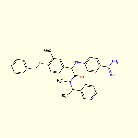 COc1cc(C(Nc2ccc(C(=N)N)cc2)C(=O)N(C)C(C(=O)O)c2ccccc2)ccc1OCc1ccccc1